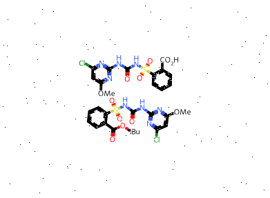 CCC(C)OC(=O)c1ccccc1S(=O)(=O)NC(=O)Nc1nc(Cl)cc(OC)n1.COc1cc(Cl)nc(NC(=O)NS(=O)(=O)c2ccccc2C(=O)O)n1